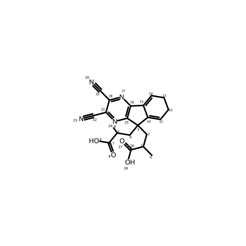 CC(CC1(CC(C)C(=O)O)C2=CCCC=C2c2nc(C#N)c(C#N)nc21)C(=O)O